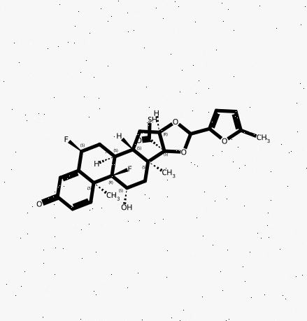 Cc1ccc(C2O[C@@H]3C[C@H]4[C@@H]5C[C@H](F)C6=CC(=O)C=C[C@]6(C)[C@@]5(F)[C@@H](O)C[C@]4(C)[C@]3(C(=O)S)O2)o1